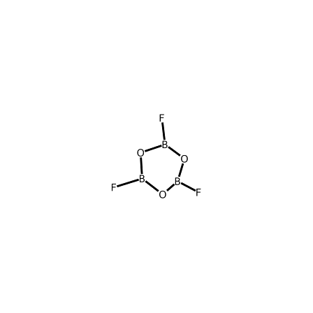 FB1OB(F)OB(F)O1